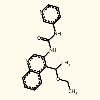 CCOC(C)c1c(NC(=O)Nc2cccnc2)cnc2ccccc12